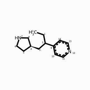 CCC(C[C@H]1CCNC1)c1ccncc1